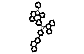 c1ccc(-n2c3cccc(-c4cccc(N(c5ccc(-c6ccc7c(ccc8ccccc87)c6)cc5)c5cc6ccccc6c6ccccc56)c4)c3c3c4ccccc4ccc32)cc1